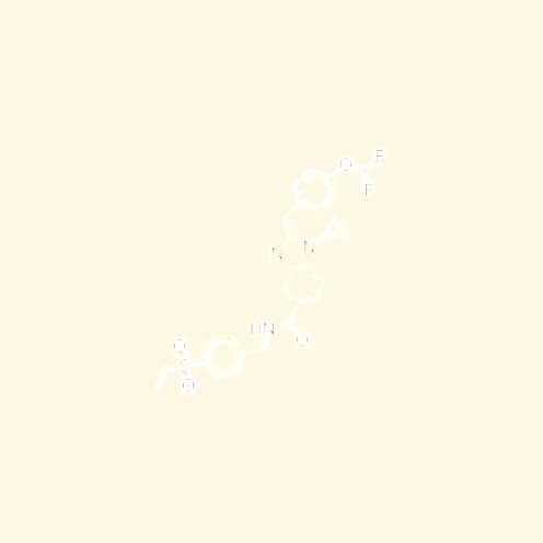 CCS(=O)(=O)c1ccc(CNC(=O)c2ccc3c(c2)nc(Cc2ccc(OC(F)F)cc2)n3C2CC2)cc1